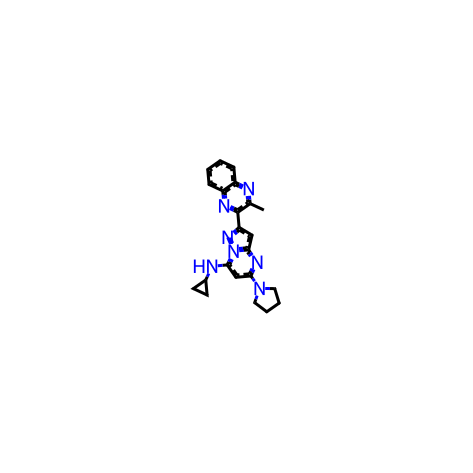 Cc1nc2ccccc2nc1-c1cc2nc(N3CCCC3)cc(NC3CC3)n2n1